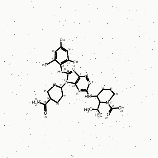 CC(C)C1C(Nc2ncc3nc(Nc4c(F)cc(F)cc4F)n(C4CCC(C(N)=O)CC4)c3n2)CCCN1C(=O)O